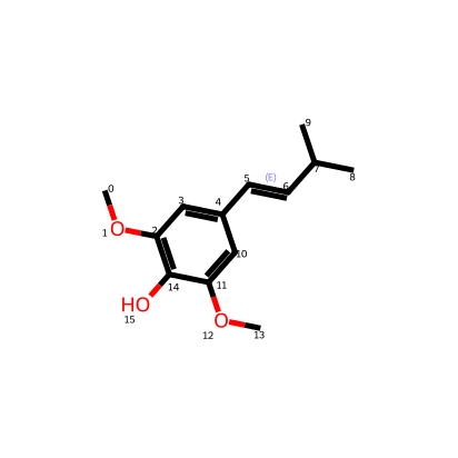 COc1cc(/C=C/C(C)C)cc(OC)c1O